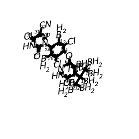 Bc1c(Cl)c(Oc2n[nH]c(=O)c(C(B)(C(B)(B)B)C(B)(B)B)c2B)c(Cl)c(B)c1-n1nc(C#N)c(=O)[nH]c1=O